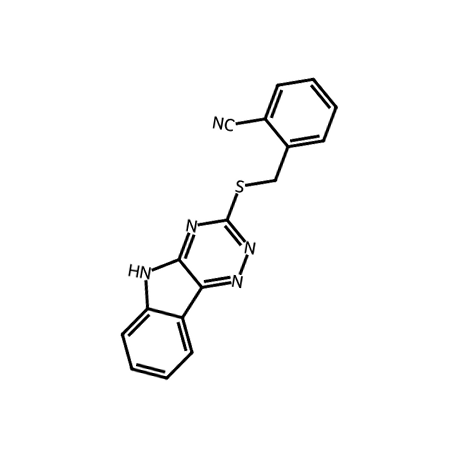 N#Cc1ccccc1CSc1nnc2c(n1)[nH]c1ccccc12